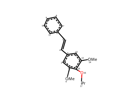 COc1cc(/C=C/c2ccccc2)cc(OC)c1OC(C)C